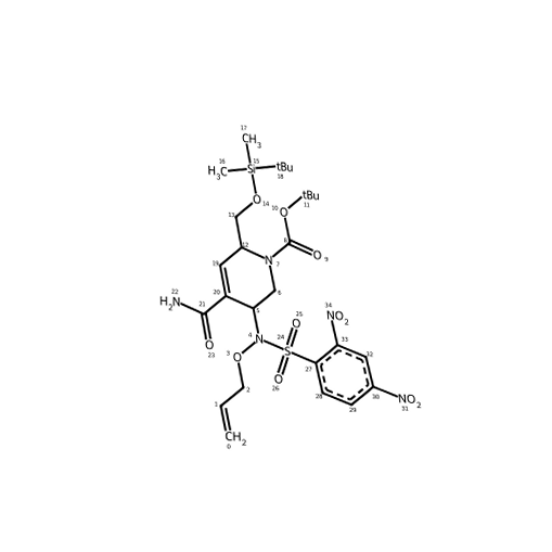 C=CCON(C1CN(C(=O)OC(C)(C)C)C(CO[Si](C)(C)C(C)(C)C)C=C1C(N)=O)S(=O)(=O)c1ccc([N+](=O)[O-])cc1[N+](=O)[O-]